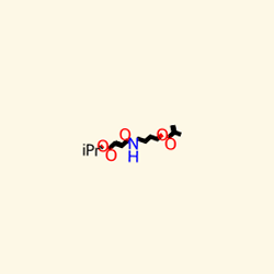 C=C(C)C(=O)OCCCCNC(=O)/C=C/C(=O)OC(C)C